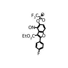 CCOC(=O)c1c(-c2ccc(F)cc2)oc2ccc(OS(=O)(=O)C(F)(F)F)c(N=O)c12